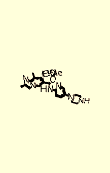 COc1c(C(=O)Nc2ccc(N3CCNCC3)cn2)cn2cc(C)nc2c1C.Cl